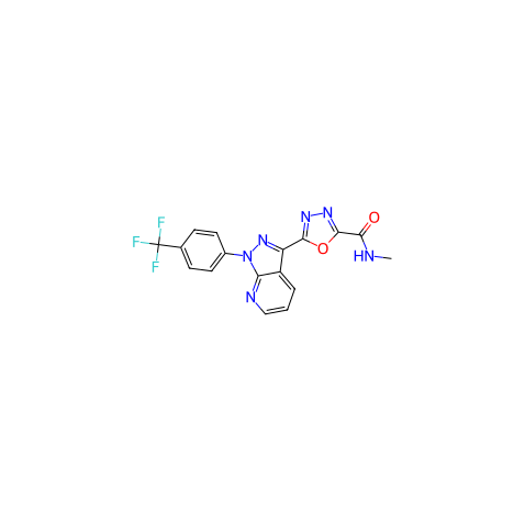 CNC(=O)c1nnc(-c2nn(-c3ccc(C(F)(F)F)cc3)c3ncccc23)o1